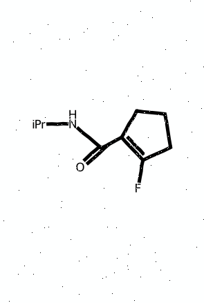 CC(C)NC(=O)C1=C(F)CCC1